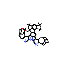 CC(C)(C)CC1(CC(C)(C)C)c2ccc3c(c2-c2cc4c5c6c(ncc5n5c7cnc8c(c7c(c21)c45)C1CC2CC(CC8C2)C1)C1CC2CC4CC6CC24C1)C(C)(C)CC3(C)C